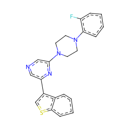 Fc1ccccc1N1CCN(c2cncc(-c3csc4ccccc34)n2)CC1